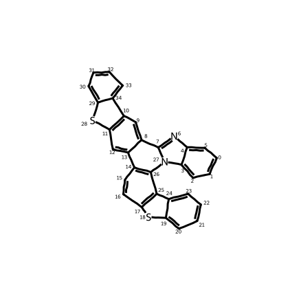 c1ccc2c(c1)nc1c3cc4c(cc3c3ccc5sc6ccccc6c5c3n21)sc1ccccc14